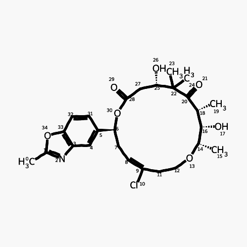 Cc1nc2cc([C@@H]3C/C=C(/Cl)CCO[C@@H](C)[C@@H](O)[C@@H](C)C(=O)C(C)(C)[C@@H](O)CC(=O)O3)ccc2o1